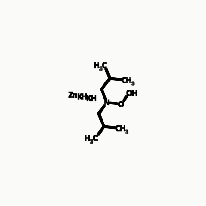 CC(C)CN(CC(C)C)OO.[KH].[KH].[Zn]